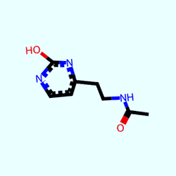 CC(=O)NCCc1ccnc(O)n1